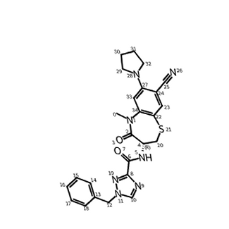 CN1C(=O)[C@@H](NC(=O)c2ncn(Cc3ccccc3)n2)CSc2cc(C#N)c(N3CCCC3)cc21